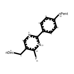 CCCCCCCCCCCc1cnc(-c2ccc(CCCCC)cc2)nc1F